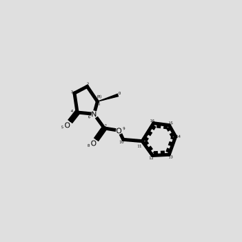 C[C@@H]1CCC(=O)N1C(=O)OCc1ccccc1